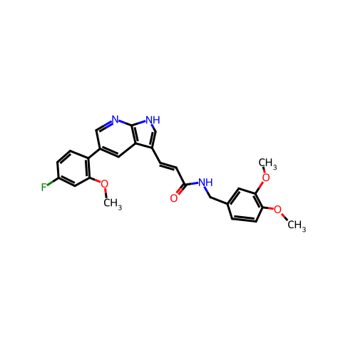 COc1ccc(CNC(=O)/C=C/c2c[nH]c3ncc(-c4ccc(F)cc4OC)cc23)cc1OC